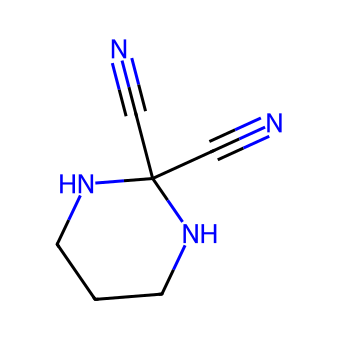 N#CC1(C#N)NCCCN1